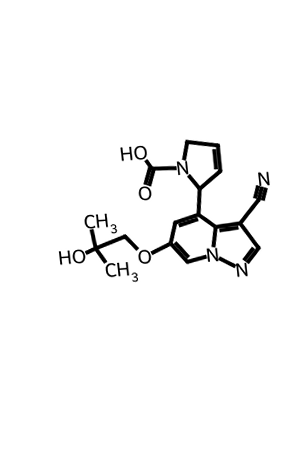 CC(C)(O)COc1cc(C2C=CCN2C(=O)O)c2c(C#N)cnn2c1